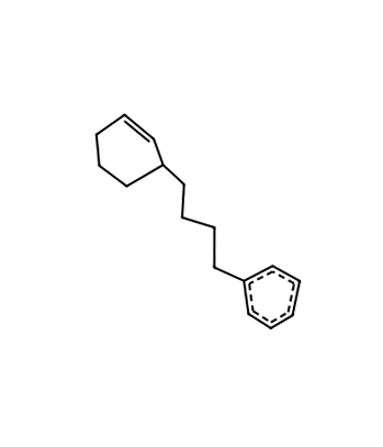 C1=CC(CCCCc2ccccc2)CCC1